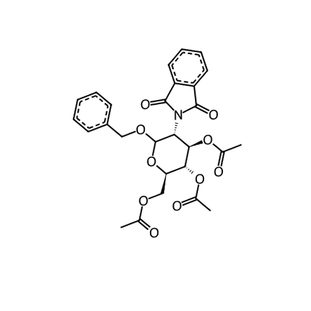 CC(=O)OC[C@H]1OC(OCc2ccccc2)[C@H](N2C(=O)c3ccccc3C2=O)[C@@H](OC(C)=O)[C@@H]1OC(C)=O